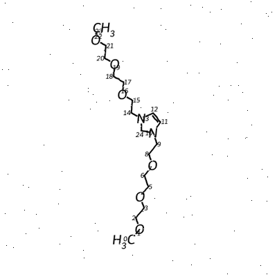 COCCOCCOCCN1C=CN(CCOCCOCCOC)C1